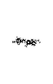 C[C@H](COc1ccc(-c2ccnc(N)c2N)cc1C#N)CC(C)(C)N(C(=O)O)C(C)(C)C